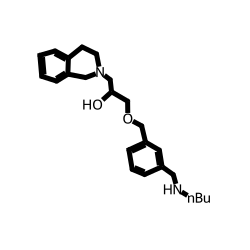 CCCCNCc1cccc(COCC(O)CN2CCc3ccccc3C2)c1